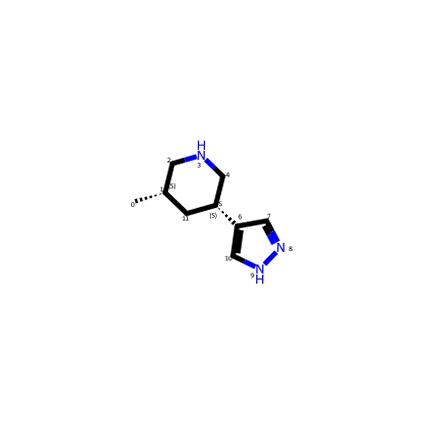 C[C@@H]1CNC[C@H](c2cn[nH]c2)C1